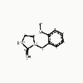 COc1ccccc1CN1CCNC1=N